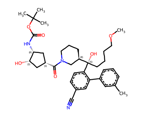 COCCCC[C@@](O)(c1ccc(C#N)cc1-c1cccc(C)c1)[C@@H]1CCCN(C(=O)[C@@H]2C[C@H](O)[C@H](NC(=O)OC(C)(C)C)C2)C1